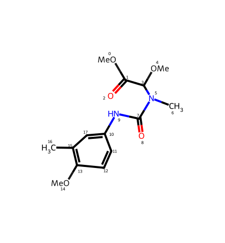 COC(=O)C(OC)N(C)C(=O)Nc1ccc(OC)c(C)c1